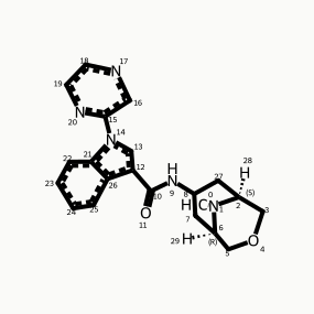 CN1[C@@H]2COC[C@H]1CC(NC(=O)c1cn(-c3cnccn3)c3ccccc13)C2